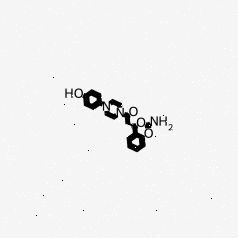 NC(=O)O[C@H](CC(=O)N1CCN(c2ccc(O)cc2)CC1)c1ccccc1